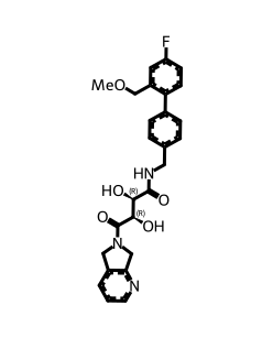 COCc1cc(F)ccc1-c1ccc(CNC(=O)[C@H](O)[C@@H](O)C(=O)N2Cc3cccnc3C2)cc1